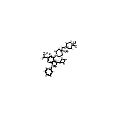 COC(=O)c1cc(N2CCC(O)(CN3CCS(=O)(=O)CC3)CC2)c2c(C3CCC3)nn(-c3ccccc3)c2n1